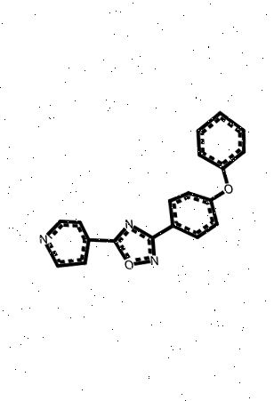 c1ccc(Oc2ccc(-c3noc(-c4ccncc4)n3)cc2)cc1